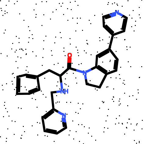 O=C(C(Cc1ccccc1)NCc1ccccn1)N1CCc2ccc(-c3ccncc3)cc21